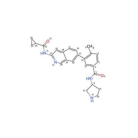 Cc1ccc(C(=O)NC2CCNC2)cc1-c1ccc2cc(NC(=O)C3CC3)ncc2c1